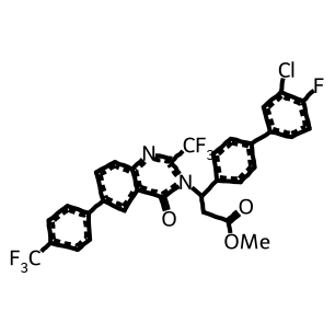 COC(=O)CC(c1ccc(-c2ccc(F)c(Cl)c2)cc1)n1c(C(F)(F)F)nc2ccc(-c3ccc(C(F)(F)F)cc3)cc2c1=O